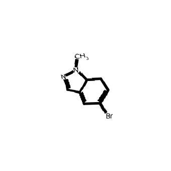 CN1N=CC2=CC(Br)=CCC21